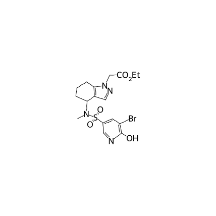 CCOC(=O)Cn1ncc2c1CCCC2N(C)S(=O)(=O)c1cnc(O)c(Br)c1